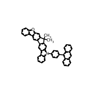 CC1(C)c2cc3oc4ccccc4c3cc2-c2cc3c4ccccc4n(-c4ccc(-c5c6ccccc6cc6ccccc56)cc4)c3cc21